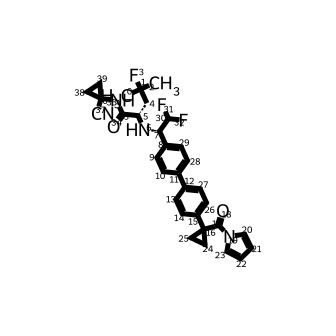 CC(C)(F)C[C@H](N[C@@H](c1ccc(-c2ccc(C3(C(=O)n4cccc4)CC3)cc2)cc1)C(F)F)C(=O)NC1(C#N)CC1